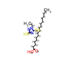 CCCCCCCCCCCCCCCCCC(=O)O.CCn1nc(S)nc1S